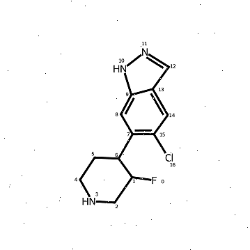 FC1CNCCC1c1cc2[nH]ncc2cc1Cl